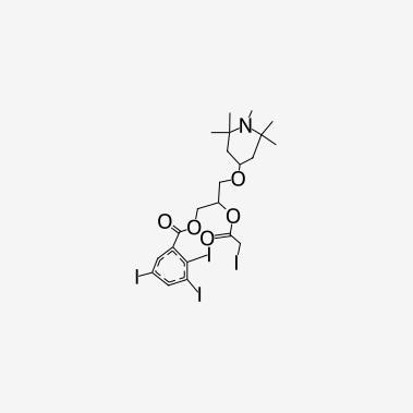 CN1C(C)(C)CC(OCC(COC(=O)c2cc(I)cc(I)c2I)OC(=O)CI)CC1(C)C